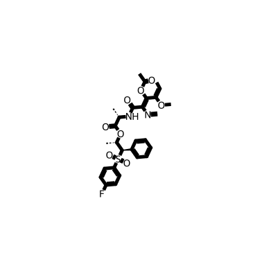 C=N/C(C(=O)N[C@@H](C)C(=O)O[C@@H](C)[C@@H](c1ccccc1)S(=O)(=O)c1ccc(F)cc1)=C(OC(C)=O)\C(=C/C)OC